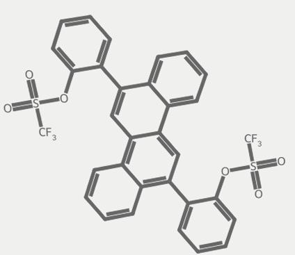 O=S(=O)(Oc1ccccc1-c1cc2c3ccccc3c(-c3ccccc3OS(=O)(=O)C(F)(F)F)cc2c2ccccc12)C(F)(F)F